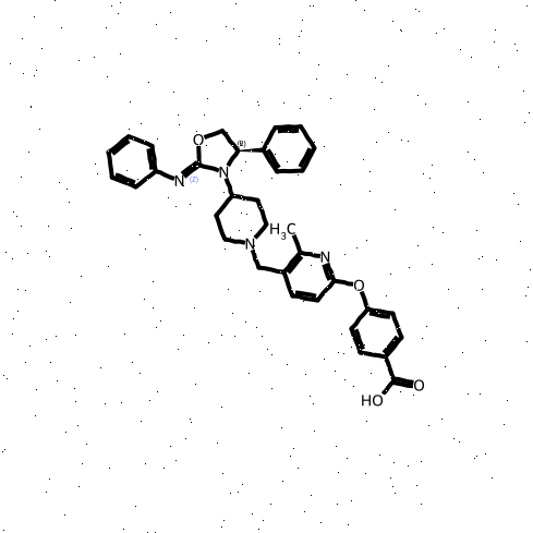 Cc1nc(Oc2ccc(C(=O)O)cc2)ccc1CN1CCC(N2/C(=N/c3ccccc3)OC[C@H]2c2ccccc2)CC1